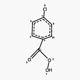 O=C(OO)c1ccc(Cl)cc1